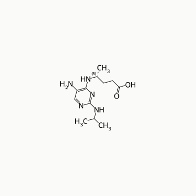 CC(C)Nc1ncc(N)c(N[C@H](C)CCC(=O)O)n1